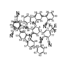 N#Cc1cc(-c2cc(-n3c4cc(-c5ccccc5C#N)ccc4c4ccc(-c5ccccc5C#N)cc43)c(C#N)c(-n3c4cc(-c5ccccc5C#N)ccc4c4ccc(-c5ccccc5C#N)cc43)c2)cc(C(F)(F)F)c1